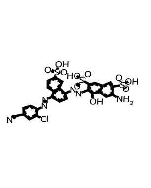 N#Cc1ccc(N=Nc2ccc(N=Nc3c(S(=O)(=O)O)cc4cc(S(=O)(=O)O)c(N)cc4c3O)c3cc(S(=O)(=O)O)ccc23)c(Cl)c1